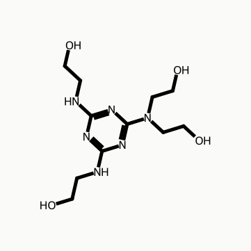 OCCNc1nc(NCCO)nc(N(CCO)CCO)n1